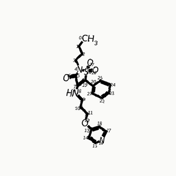 CCCCN1C(=O)C(NCCCOc2ccncc2)=C(c2ccccc2)S1(=O)=O